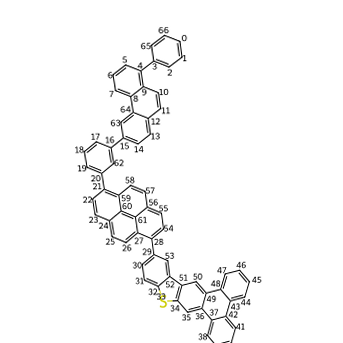 c1ccc(-c2cccc3c2ccc2ccc(-c4cccc(-c5ccc6ccc7c(-c8ccc9sc%10cc%11c%12ccccc%12c%12ccccc%12c%11cc%10c9c8)ccc8ccc5c6c87)c4)cc23)cc1